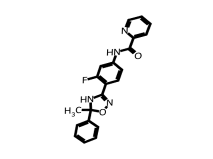 CC1(c2ccccc2)NC(c2ccc(NC(=O)c3ccccn3)cc2F)=NO1